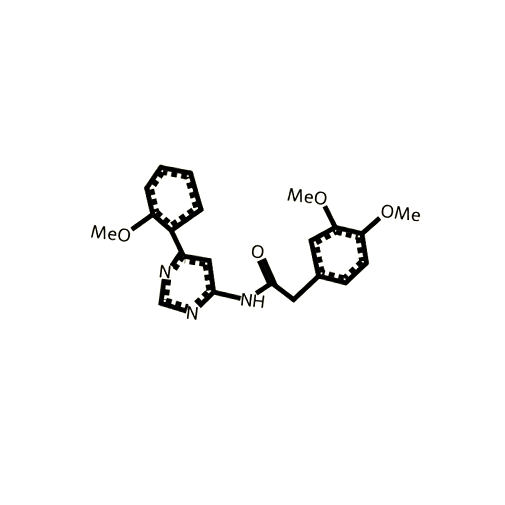 COc1ccc(CC(=O)Nc2cc(-c3ccccc3OC)ncn2)cc1OC